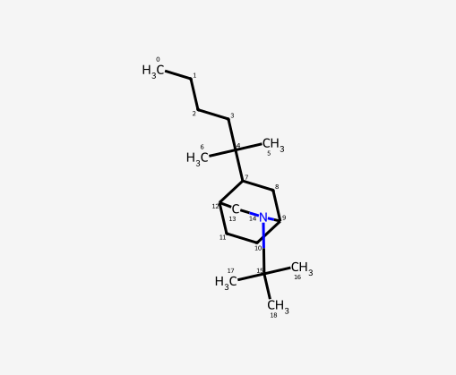 CCCCC(C)(C)C1CC2CCC1CN2C(C)(C)C